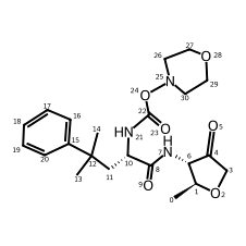 C[C@@H]1OCC(=O)[C@H]1NC(=O)[C@H](CC(C)(C)c1ccccc1)NC(=O)ON1CCOCC1